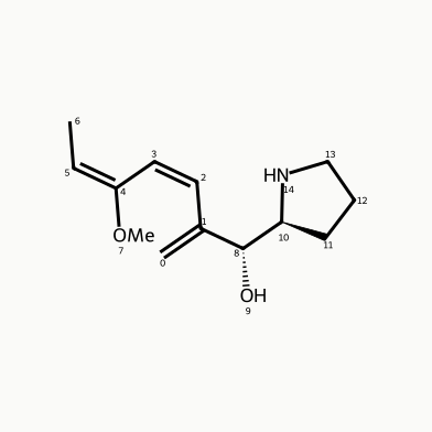 C=C(/C=C\C(=C/C)OC)[C@@H](O)[C@@H]1CCCN1